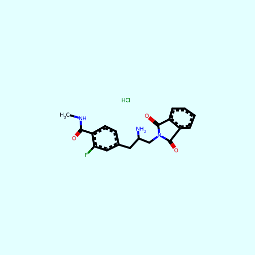 CNC(=O)c1ccc(CC(N)CN2C(=O)c3ccccc3C2=O)cc1F.Cl